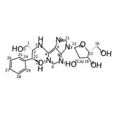 OC[C@H](Nc1ncnc2c1ncn2[C@@H]1O[C@H](CO)C(O)[C@@H]1O)[C@@H](O)c1ccccc1